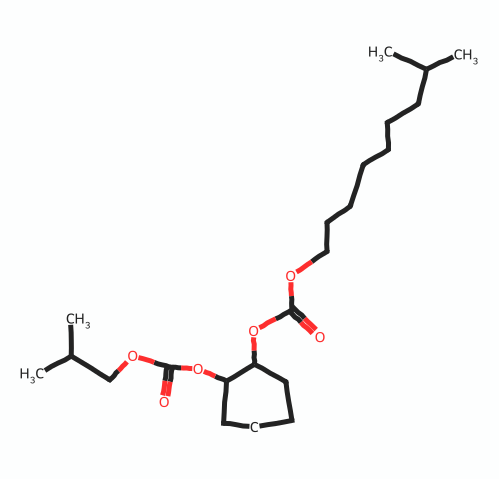 CC(C)CCCCCCCOC(=O)OC1CCCCC1OC(=O)OCC(C)C